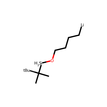 [Li][CH2]CCCO[SiH2]C(C)(C)C(C)(C)C